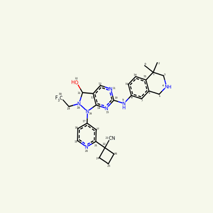 CC1(C)CNCc2cc(Nc3ncc4c(n3)N(c3ccnc(C5(C#N)CCC5)c3)N(CC(F)(F)F)C4O)ccc21